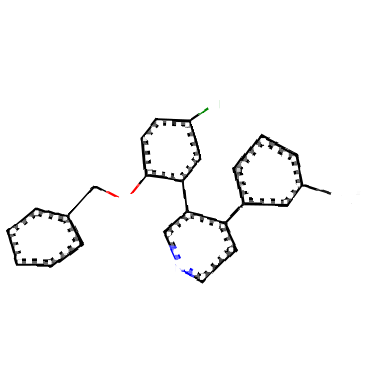 CCOC(=O)c1cccc(-c2ccncc2-c2cc(Cl)ccc2OCc2ccccc2)c1